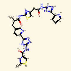 CC(Cc1ccc(-c2nnc(NC(=O)c3csc(C(C)(C)C)n3)[nH]2)nc1)C(=O)Nc1nc(CC(=O)Nc2nnc(-c3ccccn3)[nH]2)cs1